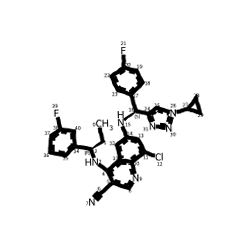 CC[C@@H](Nc1c(C#N)cnc2c(Cl)cc(N[C@@H](c3ccc(F)cc3)c3cn(C4CC4)nn3)cc12)c1cccc(F)c1